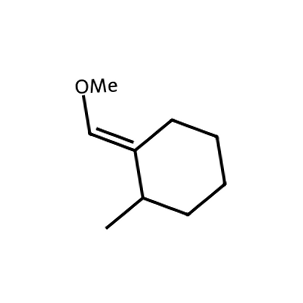 COC=C1CCCCC1C